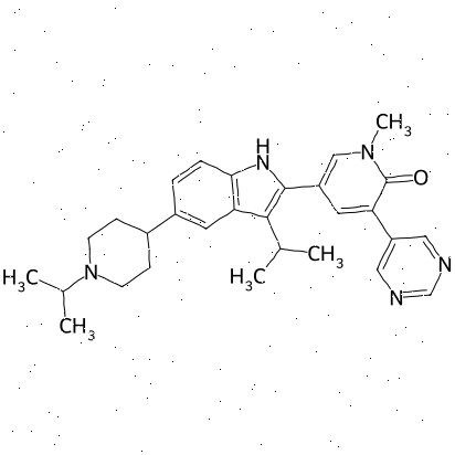 CC(C)c1c(-c2cc(-c3cncnc3)c(=O)n(C)c2)[nH]c2ccc(C3CCN(C(C)C)CC3)cc12